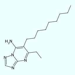 CCCCCCCCCc1c(CC)nc2ncnn2c1N